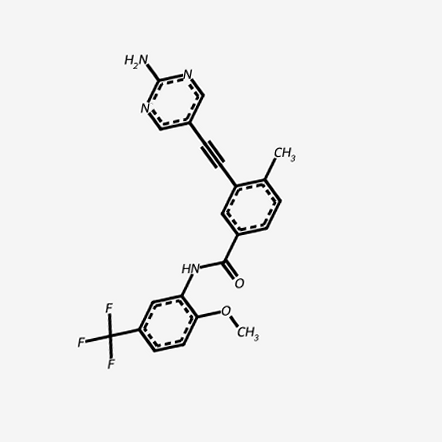 COc1ccc(C(F)(F)F)cc1NC(=O)c1ccc(C)c(C#Cc2cnc(N)nc2)c1